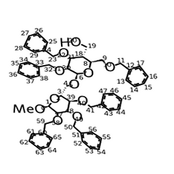 CO[C@H]1O[C@H](CO[C@@H]2O[C@H](COCc3ccccc3)[C@@H](CO)[C@H](OCc3ccccc3)[C@H]2OCc2ccccc2)[C@@H](OCc2ccccc2)[C@H](OCc2ccccc2)[C@H]1OCc1ccccc1